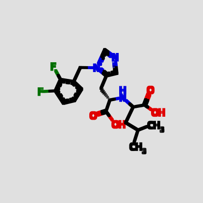 CC(C)CC(N[C@@H](Cc1cncn1Cc1cccc(F)c1F)C(=O)O)C(=O)O